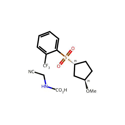 CO[C@@H]1CC[C@@H](S(=O)(=O)c2ccccc2C(F)(F)F)C1.N#CCNC(=O)O